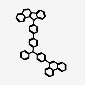 c1ccc(N(c2ccc(-c3ccc(-n4c5ccccc5c5ccc6ccccc6c54)cc3)cc2)c2ccc(-c3cc4ccccc4c4ccccc34)cc2)cc1